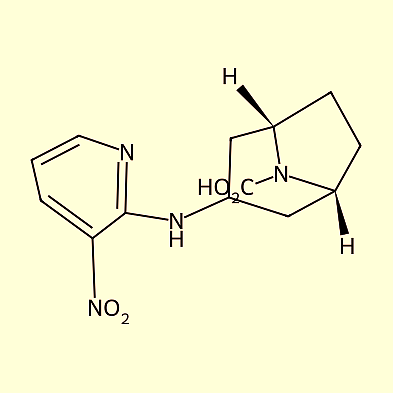 O=C(O)N1[C@@H]2CC[C@H]1CC(Nc1ncccc1[N+](=O)[O-])C2